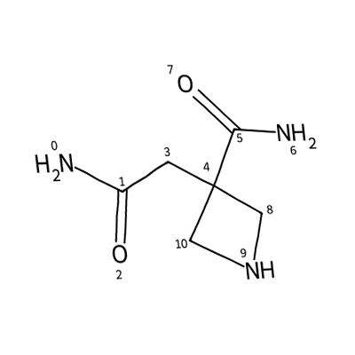 NC(=O)CC1(C(N)=O)CNC1